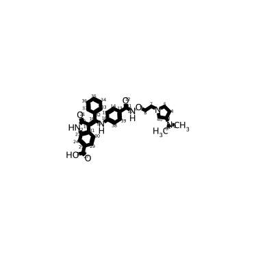 CN(C)C1CCN(CCONC(=O)c2ccc(NC(=C3C(=O)Nc4cc(C(=O)O)ccc43)c3ccccc3)cc2)C1